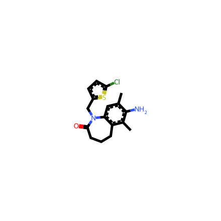 Cc1cc2c(c(C)c1N)CCCC(=O)N2Cc1ccc(Cl)s1